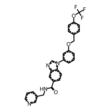 O=C(NCc1cccnc1)c1ccc2c(c1)ncn2-c1cccc(OCc2ccc(OC(F)(F)F)cc2)c1